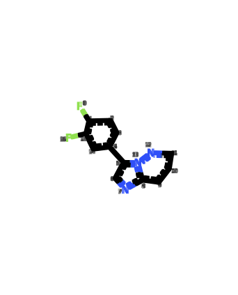 Fc1ccc(-c2cnc3cccnn23)cc1F